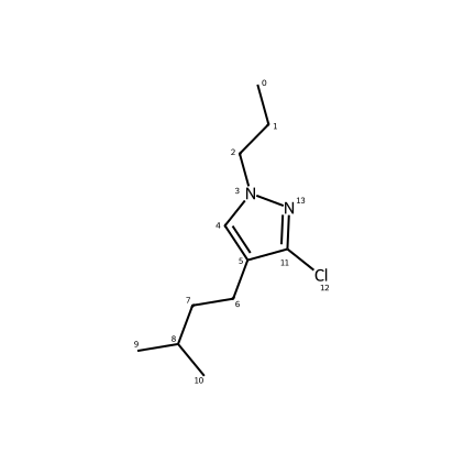 CCCn1cc(CCC(C)C)c(Cl)n1